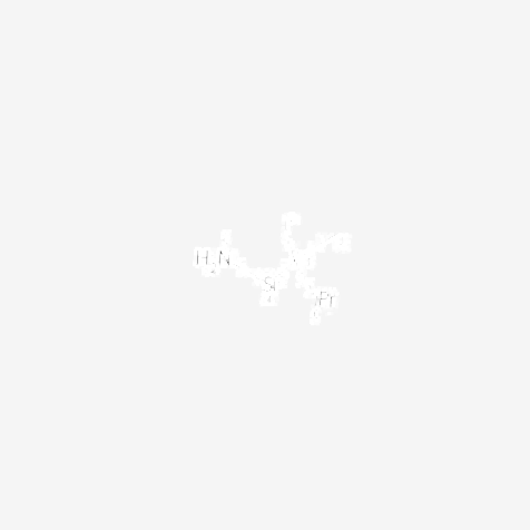 CC(C)C(C)(C)[Si]N